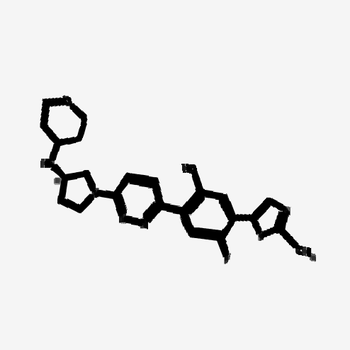 Cc1ncc(-c2cc(O)c(-c3ccc(N4CC[C@@H](NC5CCOCC5)C4)nn3)cc2F)s1